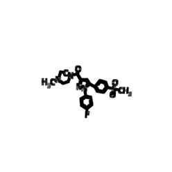 CN1CCN(C(=O)c2cc(-c3ccc(S(C)(=O)=O)cc3)n(-c3ccc(F)cc3)n2)CC1